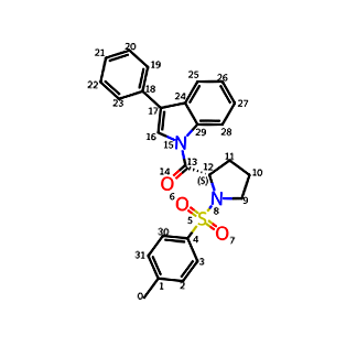 Cc1ccc(S(=O)(=O)N2CCC[C@H]2C(=O)n2cc(-c3ccccc3)c3ccccc32)cc1